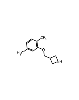 Cc1ccc(C(F)(F)F)c(OCC2CNC2)c1